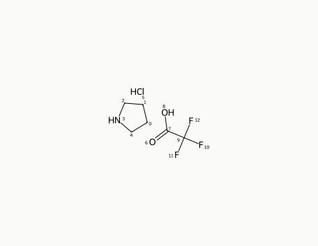 C1CCNC1.Cl.O=C(O)C(F)(F)F